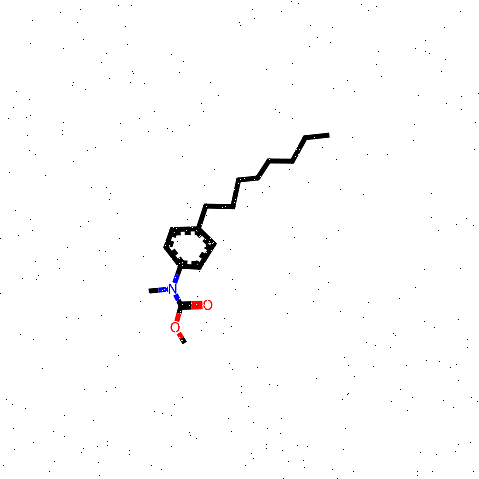 CCCCCCCCc1ccc(N(C)C(=O)OC)cc1